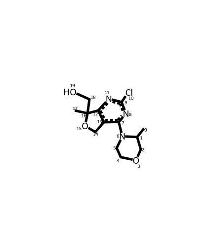 CC1COCCN1c1nc(Cl)nc2c1COC2(C)CO